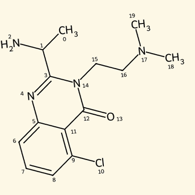 CC(N)c1nc2cccc(Cl)c2c(=O)n1CCN(C)C